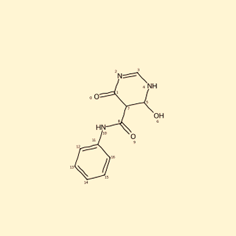 O=C1N=CNC(O)C1C(=O)Nc1ccccc1